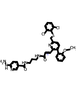 CCOc1ccccc1-c1ccc(CSc2c(Cl)cccc2Cl)nc1/C=C/C(=O)NCCCNC(=O)c1ccc(NN)nc1